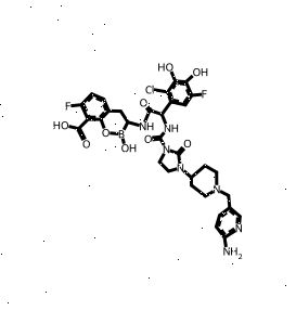 Nc1ccc(CN2CCC(N3CCN(C(=O)NC(C(=O)NC4Cc5ccc(F)c(C(=O)O)c5OB4O)c4cc(F)c(O)c(O)c4Cl)C3=O)CC2)cn1